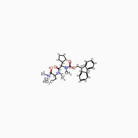 CCN(CC)C(=O)C(CC(=O)O)N(C)C(=O)C(C1CCCC1)N(C)C(=O)OCC1c2ccccc2-c2ccccc21